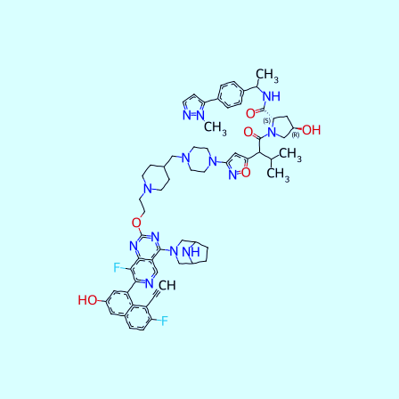 C#Cc1c(F)ccc2cc(O)cc(-c3ncc4c(N5CC6CCC(C5)N6)nc(OCCN5CCC(CN6CCN(c7cc(C(C(=O)N8C[C@H](O)C[C@H]8C(=O)NC(C)c8ccc(-c9ccnn9C)cc8)C(C)C)on7)CC6)CC5)nc4c3F)c12